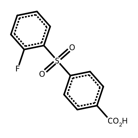 O=C(O)c1ccc(S(=O)(=O)c2ccccc2F)cc1